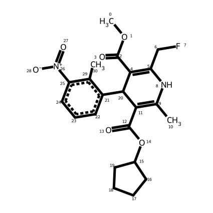 COC(=O)C1=C(CF)NC(C)=C(C(=O)OC2CCCC2)C1c1cccc([N+](=O)[O-])c1C